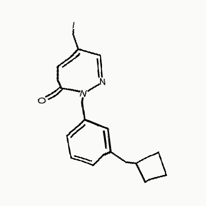 O=c1cc(I)cnn1-c1cccc(C2CCC2)c1